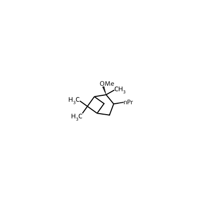 CCCC1CC2CC(C2(C)C)[C@@]1(C)OC